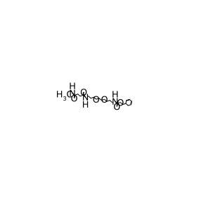 CNC(=O)CCC(=O)NCCCOCCOCCCNC(=O)OCC1C=CC=CC1